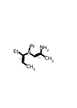 C/C=C(/CC)N(/C=C(/C)N)C(C)C